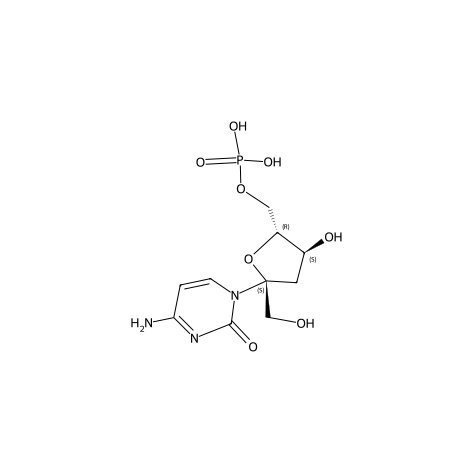 Nc1ccn([C@@]2(CO)C[C@H](O)[C@@H](COP(=O)(O)O)O2)c(=O)n1